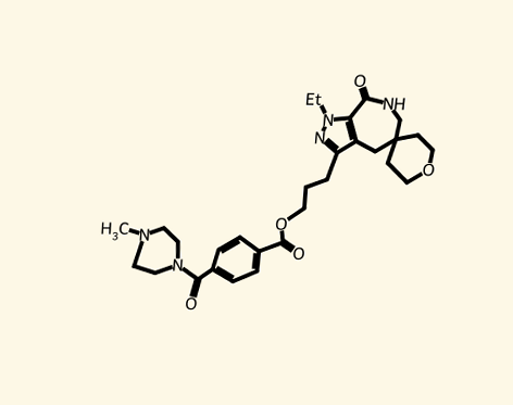 CCn1nc(CCCOC(=O)c2ccc(C(=O)N3CCN(C)CC3)cc2)c2c1C(=O)NCC1(CCOCC1)C2